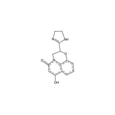 O=c1cc(O)c2cccc3c2n1CC(C1=NCCN1)O3